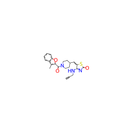 C#CCNC1=NC(=O)SC1=CC1CCN(C(=O)c2oc3ccccc3c2C)CC1